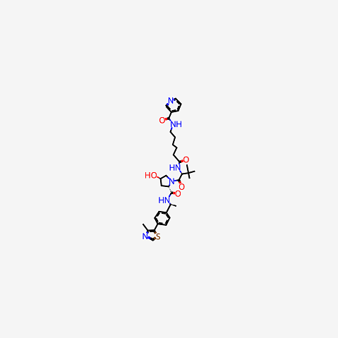 Cc1ncsc1-c1ccc([C@H](C)NC(=O)[C@@H]2C[C@@H](O)CN2C(=O)[C@@H](NC(=O)CCCCCNC(=O)c2cccnc2)C(C)(C)C)cc1